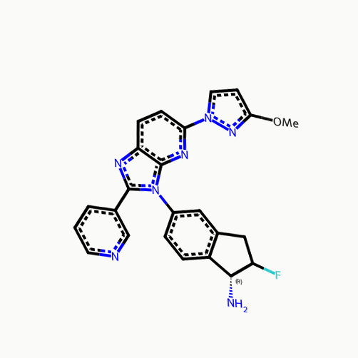 COc1ccn(-c2ccc3nc(-c4cccnc4)n(-c4ccc5c(c4)CC(F)[C@@H]5N)c3n2)n1